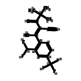 CC(C)(C)C(=O)/C(C#N)=C(\O)c1ccc(C(F)(F)F)cc1C(F)F